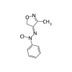 CC1=NOCC1=NN(Cl)c1ccccc1